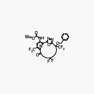 CC(C)(C)OC(=O)Nc1cc(C(F)(F)F)c2nc1-c1nnc(o1)C(OCc1ccccc1)(C(F)(F)F)CCCC(F)(F)CCC2=O